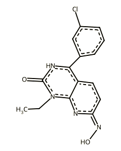 CCn1c2nc(=NO)ccc-2c(-c2cccc(Cl)c2)[nH]c1=O